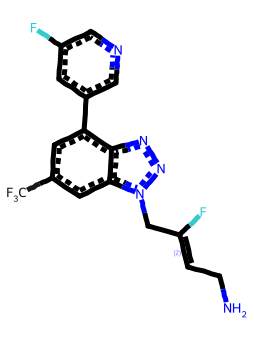 NC/C=C(\F)Cn1nnc2c(-c3cncc(F)c3)cc(C(F)(F)F)cc21